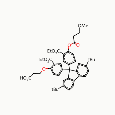 CCOC(=O)c1cc(C2(c3ccc(OC(=O)CCOC)c(C(=O)OCC)c3)c3cc(C(C)(C)C)ccc3-c3ccc(C(C)(C)C)cc32)ccc1OCCC(=O)O